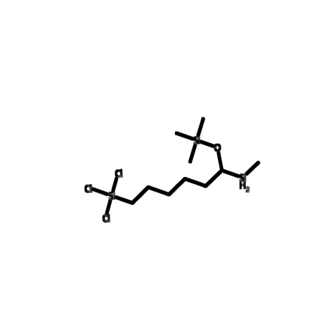 C[SiH2]C(CCCCC[Si](Cl)(Cl)Cl)O[Si](C)(C)C